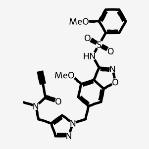 C#CC(=O)N(C)Cc1cnn(Cc2cc(OC)c3c(NS(=O)(=O)c4ccccc4OC)noc3c2)c1